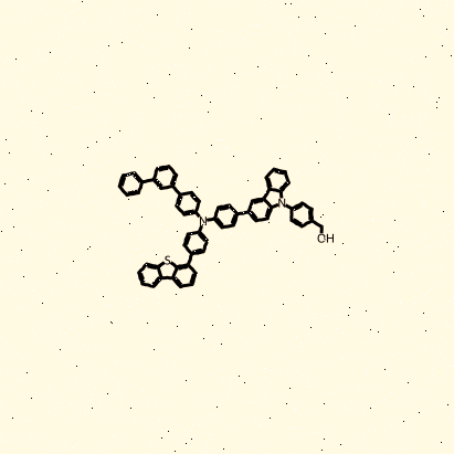 OCc1ccc(-n2c3ccccc3c3cc(-c4ccc(N(c5ccc(-c6cccc(-c7ccccc7)c6)cc5)c5ccc(-c6cccc7c6sc6ccccc67)cc5)cc4)ccc32)cc1